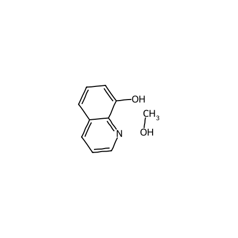 CO.Oc1cccc2cccnc12